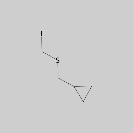 ICSCC1CC1